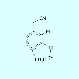 CCOc1c(C(=O)O)ccc(CC#N)c1CC